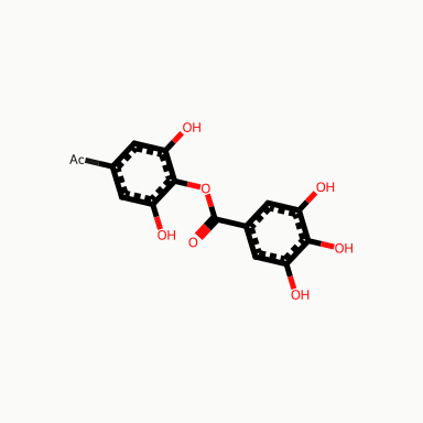 CC(=O)c1cc(O)c(OC(=O)c2cc(O)c(O)c(O)c2)c(O)c1